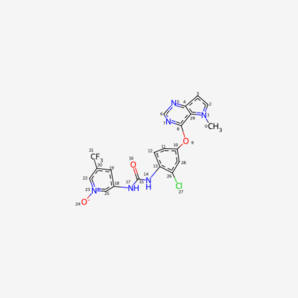 Cn1ccc2ncnc(Oc3ccc(NC(=O)Nc4cc(C(F)(F)F)c[n+]([O-])c4)c(Cl)c3)c21